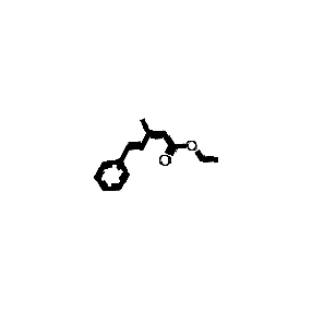 CCOC(=O)/C=C(C)\C=C\c1ccccc1